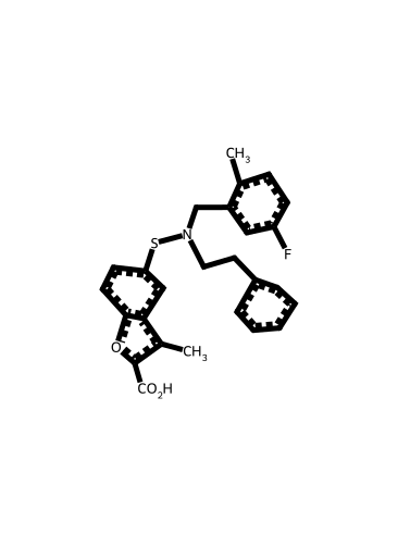 Cc1ccc(F)cc1CN(CCc1ccccc1)Sc1ccc2oc(C(=O)O)c(C)c2c1